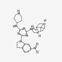 CC1(C)[C@@H]2CC[C@@H](CNc3nc(NC4CCNCC4)nc(N4CCc5ccc([N+](=O)[O-])cc54)n3)[C@H]1C2